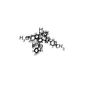 CN1CCC(c2nc(-c3cccc(NC(=O)c4c(F)cccc4F)c3)c(-c3ccnc(Nc4ccc5c(c4)CN(C)CC5)n3)s2)CC1